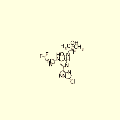 CC(C)(O)[C@H](F)CNC(=O)c1cnc(-c2cnn3cc(Cl)cnc23)cc1Nc1cnn(CC(F)F)c1